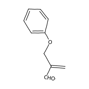 C=C([C]=O)COc1ccccc1